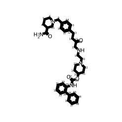 NC(=O)C1CCCN(Cc2ccc(CCC(=O)CNCCN3CCC(OC(=O)Nc4ccccc4-c4ccccc4)CC3)cc2)C1